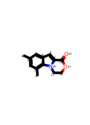 Cc1cc(C)c2c(c1)cc1n2CCOC1=O